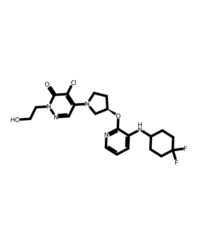 O=c1c(Cl)c(N2CC[C@@H](Oc3ncccc3NC3CCC(F)(F)CC3)C2)cnn1CCO